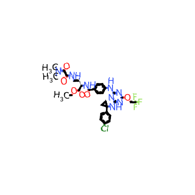 CCOC(=O)[C@H](CCNC(=O)C(=O)N(C)C)NC(=O)c1ccc(Nc2nc(NC3(c4ccc(Cl)cc4)CC3)nc(OCC(F)(F)F)n2)cc1